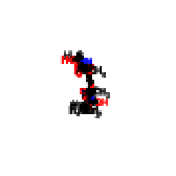 CC[C@H](CCO)NC(=O)c1cc(OC)c(OCCCCCOc2cc([N+](=O)[O-])c(C(=O)N3C[C@H](O)C[C@H]3CO[Si](C)(C)C(C)(C)C)cc2C)cc1[N+](=O)[O-]